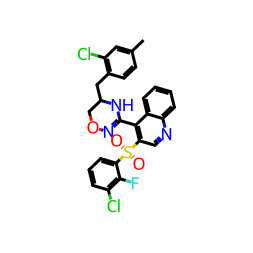 Cc1ccc(CC2CON=C(c3c(S(=O)(=O)c4cccc(Cl)c4F)cnc4ccccc34)N2)c(Cl)c1